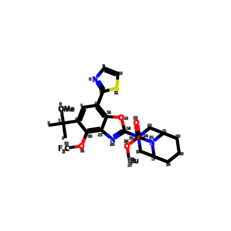 COC(C)(C)c1cc(-c2nccs2)c2oc(N3CC4CCCC(C3)N4C(=O)OC(C)(C)C)nc2c1OC(F)(F)F